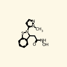 Cn1nccc1N1Sc2ccccc2C1CC(=O)NO